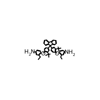 CCc1cc(N)ccc1Oc1ccc(C2(c3ccc(Oc4ccc(N)cc4CC)c(C(C)(C)C)c3)c3ccccc3-c3ccccc32)cc1C(C)(C)C